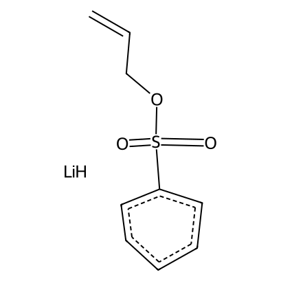 C=CCOS(=O)(=O)c1ccccc1.[LiH]